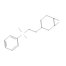 CC[Si](C)(CCC1CCC2OC2C1)c1ccccc1